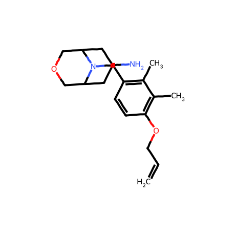 C=CCOc1ccc(CN2C3COCC2CC(N)C3)c(C)c1C